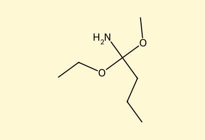 CCCC(N)(OC)OCC